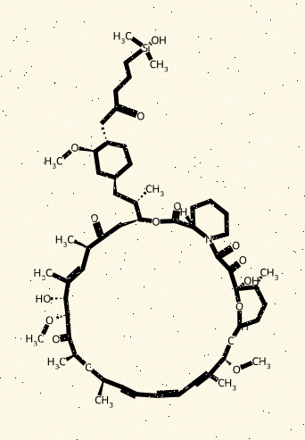 CO[C@H]1C[C@@H]2CC[C@@H](C)[C@@](O)(O2)C(=O)C(=O)N2CCCC[C@H]2C(=O)O[C@H]([C@@H](C)C[C@@H]2CC[C@@H](CC(=O)CCC[Si](C)(C)O)[C@H](OC)C2)CC(=O)[C@H](C)/C=C(\C)[C@@H](O)[C@@H](OC)C(=O)[C@H](C)C[C@H](C)/C=C/C=C/C=C/1C